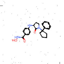 O=C(NO)c1ccc(NC2CCN(C3(c4ccccc4)CCCC3)C2=O)cc1